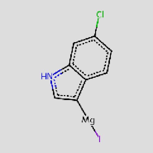 Clc1ccc2[c]([Mg][I])c[nH]c2c1